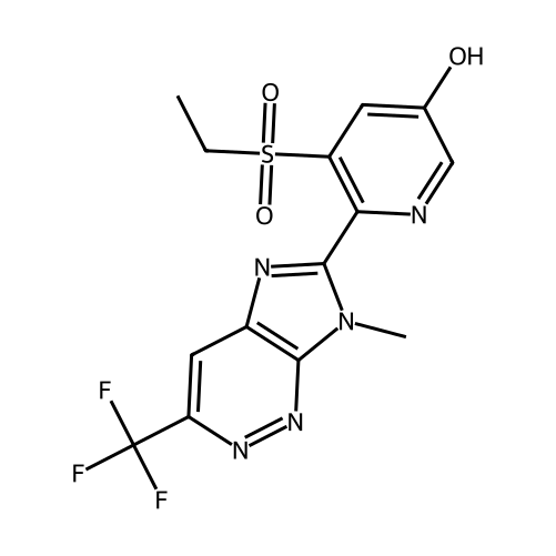 CCS(=O)(=O)c1cc(O)cnc1-c1nc2cc(C(F)(F)F)nnc2n1C